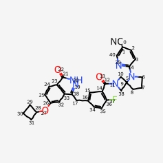 N#Cc1ccc(N2CCCC23CN(C(=O)c2cc(Cc4n[nH]c(=O)c5ccc(OC6CCC6)cc45)ccc2F)C3)nc1